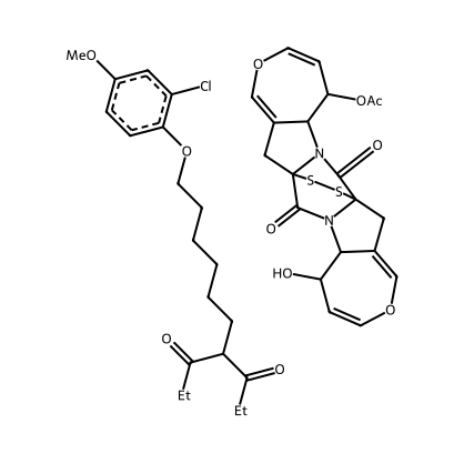 CC(=O)OC1C=COC=C2CC34SSC5(CC6=COC=CC(O)C6N5C3=O)C(=O)N4C21.CCC(=O)C(CCCCCCOc1ccc(OC)cc1Cl)C(=O)CC